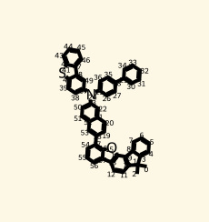 CC1(C)c2ccccc2-c2c1ccc1c2oc2c(-c3ccc4cc(N(c5ccc(-c6ccccc6)cc5)c5ccc6sc7ccccc7c6c5)ccc4c3)cccc21